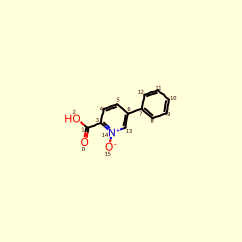 O=C(O)c1ccc(-c2ccccc2)c[n+]1[O-]